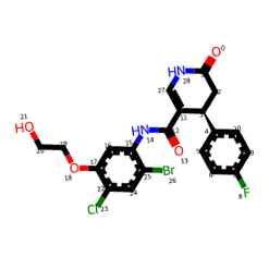 O=C1C[C@@H](c2ccc(F)cc2)C(C(=O)Nc2cc(OCCO)c(Cl)cc2Br)=CN1